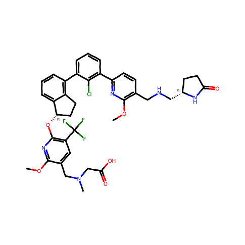 COc1nc(-c2cccc(-c3cccc4c3CC[C@@H]4Oc3nc(OC)c(CN(C)CC(=O)O)cc3C(F)(F)F)c2Cl)ccc1CNC[C@@H]1CCC(=O)N1